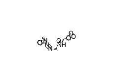 O=C(/C=C/c1ccc2c(c1)OCO2)NC[C@H]1C[C@@H]1CN1CCN(c2nsc3ccccc23)CC1